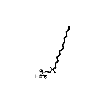 CCCCCCCCCCCCCC[N+](C)(C)CCS(=O)(=O)O